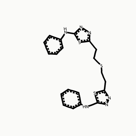 c1ccc(Nc2nnc(CCSCCc3nnc(Nc4ccccc4)s3)s2)cc1